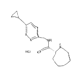 Cl.O=C(Nc1ccc(C2CC2)nn1)[C@H]1CCCCN1